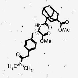 COC(=O)[C@H](Cc1ccc(CC(=O)N(C)C)cc1)NC(=O)C12CC3CC(C1)CC(C(=O)OC)(C3)C2